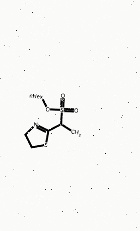 CCCCCCOS(=O)(=O)C(C)C1=NCCS1